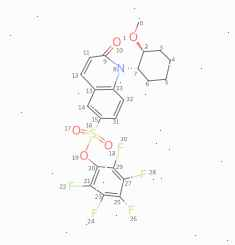 CO[C@H]1CCCC[C@@H]1n1c(=O)ccc2cc(S(=O)(=O)Oc3c(F)c(F)c(F)c(F)c3F)ccc21